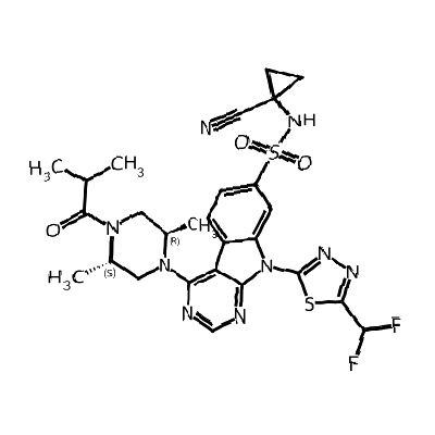 CC(C)C(=O)N1C[C@@H](C)N(c2ncnc3c2c2ccc(S(=O)(=O)NC4(C#N)CC4)cc2n3-c2nnc(C(F)F)s2)C[C@@H]1C